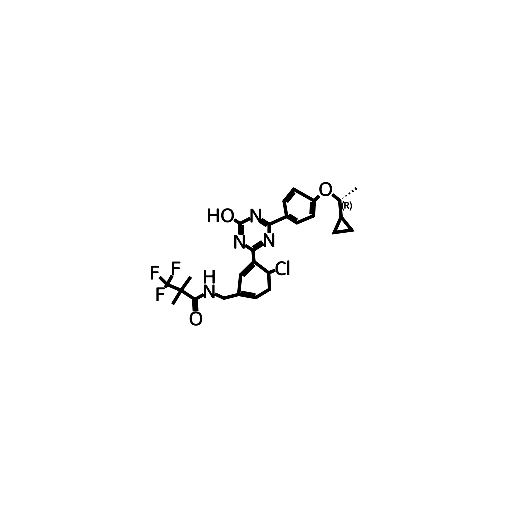 C[C@@H](Oc1ccc(-c2nc(O)nc(C3=CC(CNC(=O)C(C)(C)C(F)(F)F)=CCC3Cl)n2)cc1)C1CC1